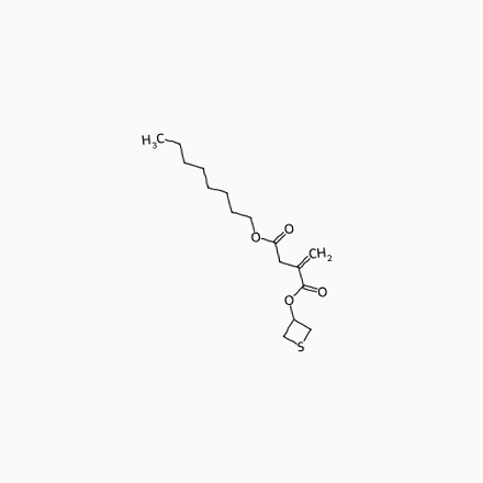 C=C(CC(=O)OCCCCCCCC)C(=O)OC1CSC1